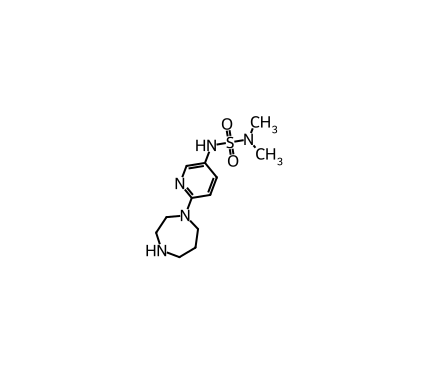 CN(C)S(=O)(=O)Nc1ccc(N2CCCNCC2)nc1